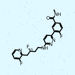 CNC(=O)c1ccc(F)c(-c2ccc(NCC[C@H](F)Cc3ncccc3F)nn2)c1